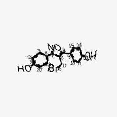 Oc1ccc(-c2noc(-c3ccc(O)cc3)c2CBr)cc1